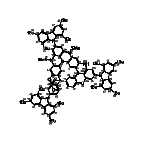 CSN1c2cc3c(cc2B2c4cc5c(cc4N(SC)c4cc(-n6c7c(C(C)(C)C)cc(C(C)(C)C)cc7c7cc(C(C)(C)C)cc(C(C)(C)C)c76)cc1c42)Oc1cc(-n2c4c(C(C)(C)C)cc(C(C)(C)C)cc4c4cc(C(C)(C)C)cc(C(C)(C)C)c42)cc2c1B5c1ccccc1O2)B1c2ccccc2Oc2cc(-n4c5c(C(C)(C)C)cc(C(C)(C)C)cc5c5cc(C(C)(C)C)cc(C(C)(C)C)c54)cc(c21)N3